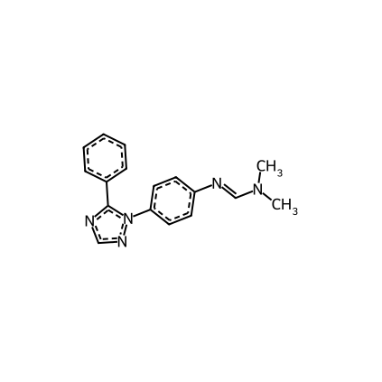 CN(C)C=Nc1ccc(-n2ncnc2-c2ccccc2)cc1